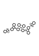 c1ccc2c(c1)-c1ccccc1C21c2cc(-n3c4ccccc4c4cc(-c5nc6ccccc6o5)ccc43)ccc2-c2ccc(-n3c4ccccc4c4cc(-c5nc6ccccc6o5)ccc43)cc21